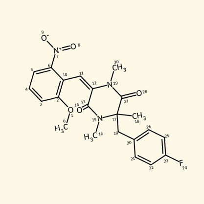 COc1cccc([N+](=O)[O-])c1/C=C1\C(=O)N(C)C(C)(Cc2ccc(F)cc2)C(=O)N1C